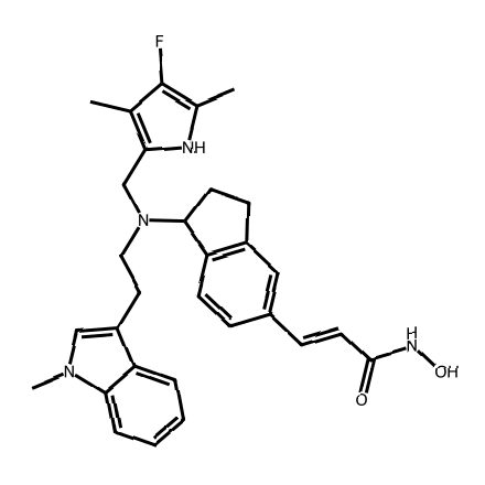 Cc1[nH]c(CN(CCc2cn(C)c3ccccc23)C2CCc3cc(/C=C/C(=O)NO)ccc32)c(C)c1F